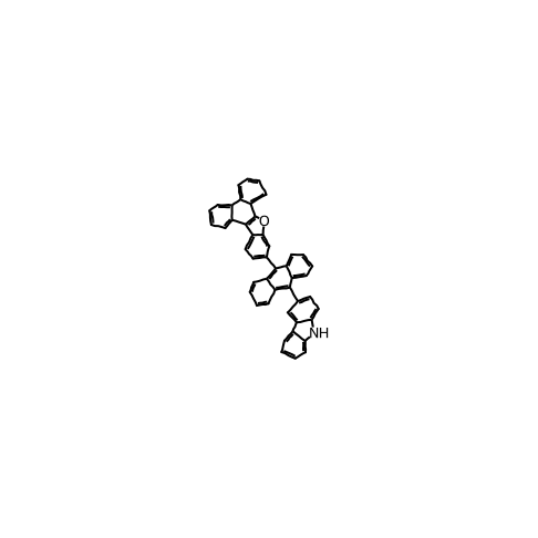 c1ccc2c(c1)[nH]c1ccc(-c3c4ccccc4c(-c4ccc5c(c4)oc4c6ccccc6c6ccccc6c54)c4ccccc34)cc12